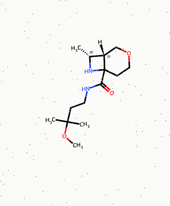 COC(C)(C)CCNC(=O)C12CCOC[C@H]1[C@@H](C)N2